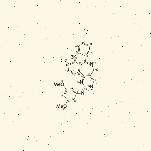 COc1cc(Nc2ncc3c(n2)-c2ccc(Cl)cc2C(c2ccccc2Cl)=NC3)cc(OC)c1